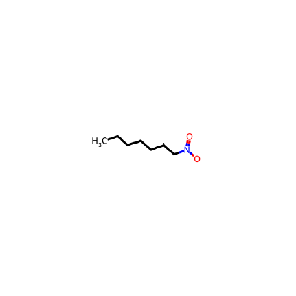 CCCCC[CH]C[N+](=O)[O-]